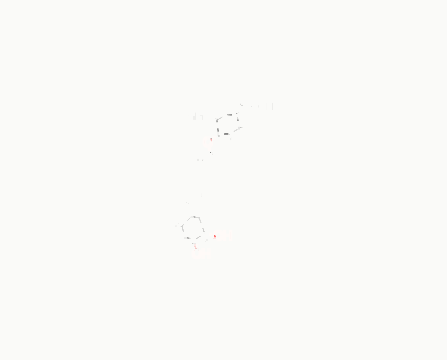 CCCc1cc(C(=O)O)ccc1OCCCCCCc1ccc(O)c(O)c1